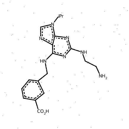 CC(C)n1cnc2c(NCc3cccc(C(=O)O)c3)nc(NCCN)nc21